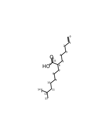 C=CCCCCC(CCCCCC(C)I)C(=O)O